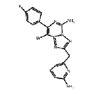 Nc1cccc(Cc2nc3c(Br)c(-c4ccc(F)cc4)nc(N)n3n2)n1